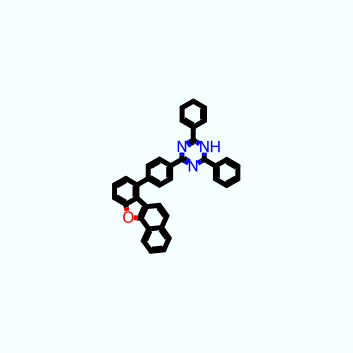 C1=CC(C2=NC(c3ccc(-c4cccc5oc6c7ccccc7ccc6c45)cc3)=NC(c3ccccc3)N2)=CCC1